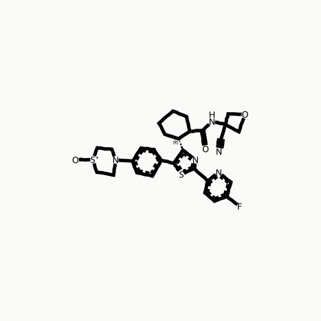 N#CC1(NC(=O)C2CCCC[C@H]2c2nc(-c3ccc(F)cn3)sc2-c2ccc(N3CC[S+]([O-])CC3)cc2)COC1